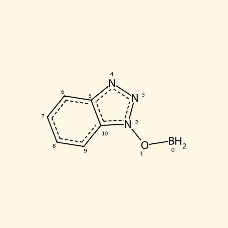 BOn1nnc2ccccc21